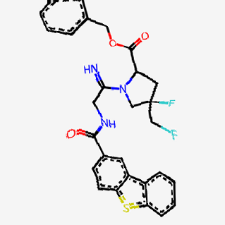 N=C(CNC(=O)c1ccc2sc3ccccc3c2c1)N1C[C@@](F)(CF)CC1C(=O)OCc1ccccc1